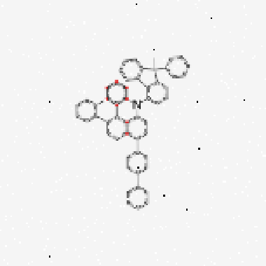 CC1(c2ccccc2)c2ccccc2-c2c(N(c3ccc(-c4ccc(-c5ccccc5)cc4)cc3)c3ccccc3-c3ccccc3-c3ccccc3-c3ccccc3)cccc21